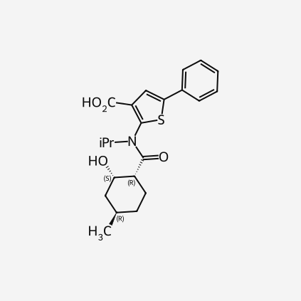 CC(C)N(C(=O)[C@@H]1CC[C@@H](C)C[C@@H]1O)c1sc(-c2ccccc2)cc1C(=O)O